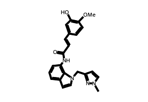 COc1ccc(C=CC(=O)Nc2cccc3ccn(Cc4ccn(C)n4)c23)cc1O